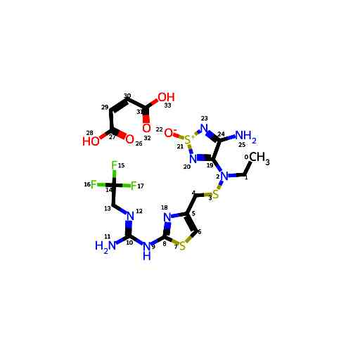 CCN(SCc1csc(NC(N)=NCC(F)(F)F)n1)c1n[s+]([O-])nc1N.O=C(O)/C=C\C(=O)O